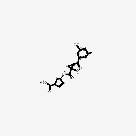 COC(=O)C1C=C[C@H](NC(=O)C23CC2C(c2cc(Cl)cc(Cl)c2)=NO3)C1